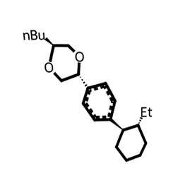 CCCC[C@H]1CO[C@H](c2ccc([C@@H]3CCCC[C@H]3CC)cc2)CO1